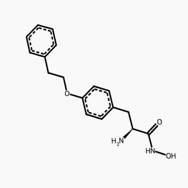 N[C@@H](Cc1ccc(OCCc2ccccc2)cc1)C(=O)NO